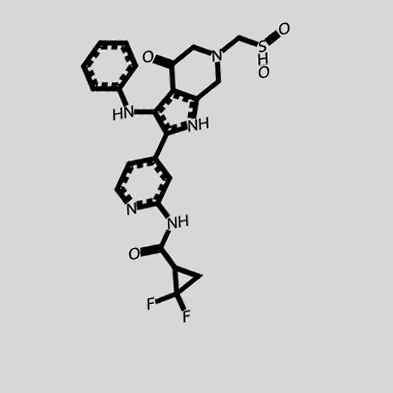 O=C1CN(C[SH](=O)=O)Cc2[nH]c(-c3ccnc(NC(=O)C4CC4(F)F)c3)c(Nc3ccccc3)c21